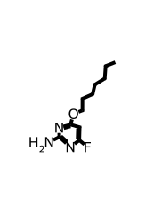 CCCCCCCOc1cc(F)nc(N)n1